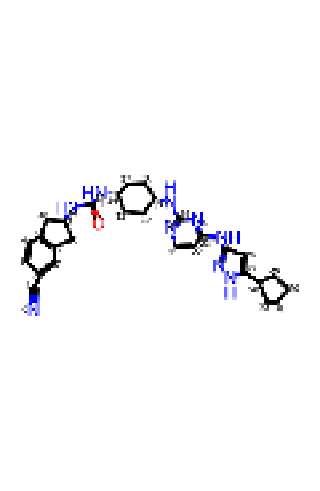 N#Cc1ccc2c(c1)CC(NC(=O)N[C@H]1CC[C@H](Nc3nccc(Nc4cc(C5CCCC5)[nH]n4)n3)CC1)C2